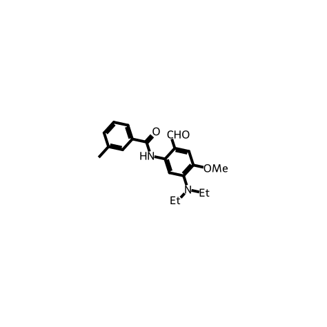 CCN(CC)c1cc(NC(=O)c2cccc(C)c2)c(C=O)cc1OC